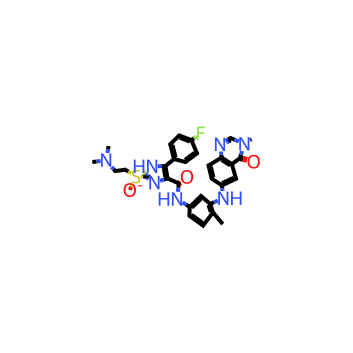 Cc1ccc(NC(=O)c2nc([S+]([O-])CCN(C)C)[nH]c2-c2ccc(F)cc2)cc1Nc1ccc2ncn(C)c(=O)c2c1